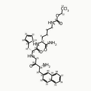 NC(=O)[C@H](CCCCNC(=O)OCC(Cl)(Cl)Cl)NC(=O)[C@@H](Cc1cccs1)NCC(=O)[C@H](N)Cc1ccc2ccccc2c1